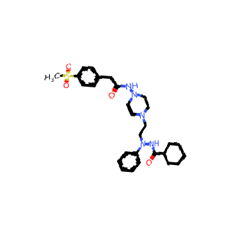 CS(=O)(=O)c1ccc(CC(=O)NN2CCN(CCN(NC(=O)C3CCCCC3)c3ccccc3)CC2)cc1